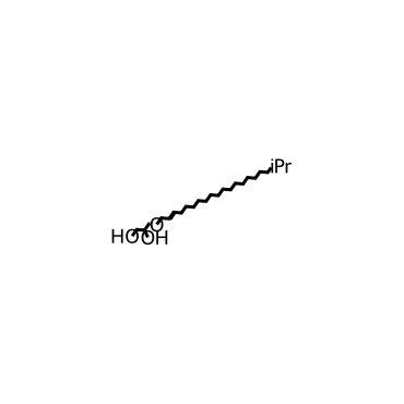 CC(C)CCCCCCCCCCCCCCCC=CCOCC(O)CO